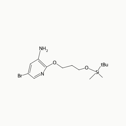 CC(C)(C)[Si](C)(C)OCCCOc1ncc(Br)cc1N